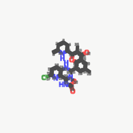 C=C1C=CC=C(c2oc3c([C@@H](C)Nc4ccc(Cl)nc4-c4noc(=O)[nH]4)cc(C)cc3c(=O)c2C)N1